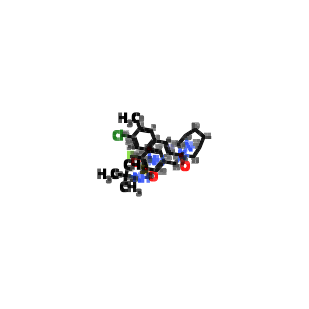 Cc1cc(/C=C/C(=O)N2C3CCC2CN(Cc2ccc(F)cc2)C3)c(NS(=O)(=O)NC(C)(C)C)cc1Cl